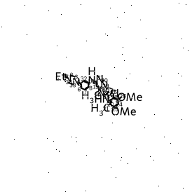 CCN1CCN(c2cccc(Nc3cc(N(C)C(=O)Nc4c(C)c(OC)cc(OC)c4Cl)ncn3)c2)CC1